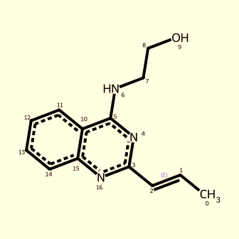 C/C=C/c1nc(NCCO)c2ccccc2n1